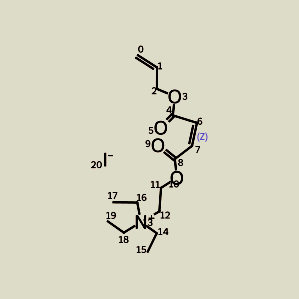 C=CCOC(=O)/C=C\C(=O)OCC[N+](CC)(CC)CC.[I-]